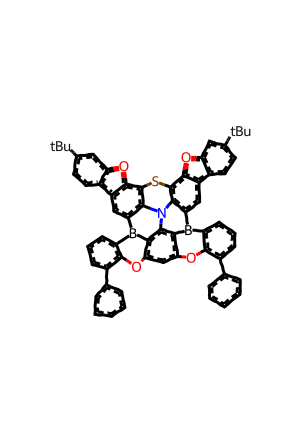 CC(C)(C)c1ccc2c(c1)oc1c3c4c(cc12)B1c2cccc(-c5ccccc5)c2Oc2cc5c6c(c21)N4c1c(cc2c(oc4cc(C(C)(C)C)ccc42)c1S3)B6c1cccc(-c2ccccc2)c1O5